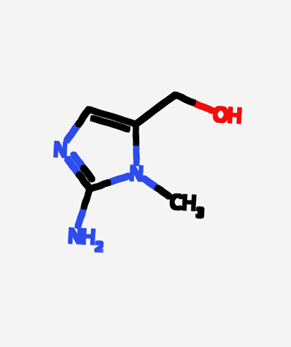 Cn1c(CO)cnc1N